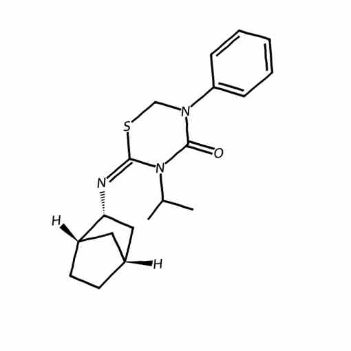 CC(C)N1C(=O)N(c2ccccc2)CS/C1=N/[C@@H]1C[C@@H]2CC[C@H]1C2